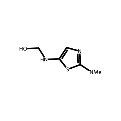 CNc1ncc(NCO)s1